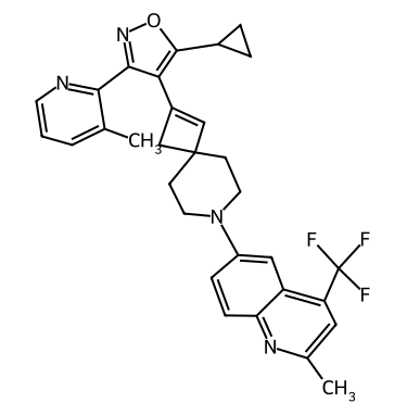 Cc1cc(C(F)(F)F)c2cc(N3CCC4(C=C(c5c(-c6ncccc6C)noc5C5CC5)C4)CC3)ccc2n1